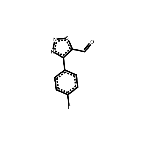 O=Cc1snnc1-c1ccc(F)cc1